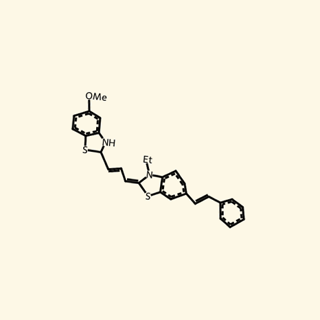 CCN1/C(=C\C=C\C2Nc3cc(OC)ccc3S2)Sc2cc(/C=C/c3ccccc3)ccc21